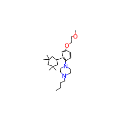 CCCCN1CCN(c2ccc(OCCOC)cc2C2CC(C)(C)CC(C)(C)C2)CC1